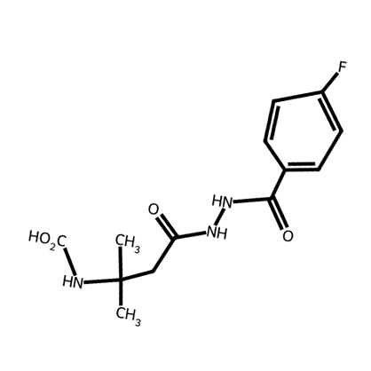 CC(C)(CC(=O)NNC(=O)c1ccc(F)cc1)NC(=O)O